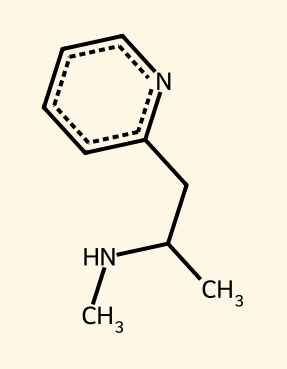 CNC(C)Cc1ccccn1